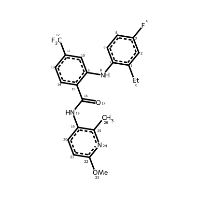 CCc1cc(F)ccc1Nc1cc(C(F)(F)F)ccc1C(=O)Nc1ccc(OC)nc1C